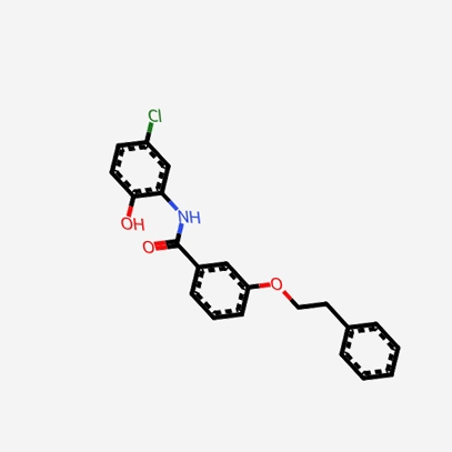 O=C(Nc1cc(Cl)ccc1O)c1cccc(OCCc2ccccc2)c1